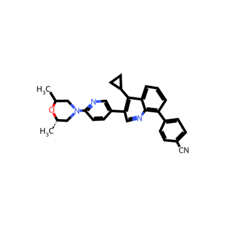 CC1CN(c2ccc(-c3cnc4c(-c5ccc(C#N)cc5)cccc4c3C3CC3)cn2)C[C@H](C)O1